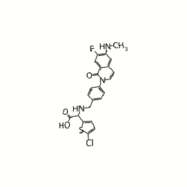 CNc1cc2ccn(-c3ccc(CNC(C(=O)O)c4ccc(Cl)s4)cc3)c(=O)c2cc1F